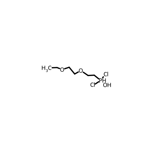 CCOCCOCC[PH](O)(Cl)Cl